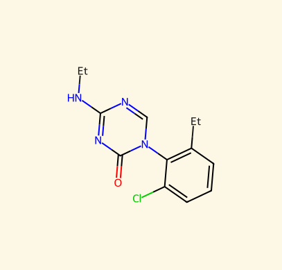 CCNc1ncn(-c2c(Cl)cccc2CC)c(=O)n1